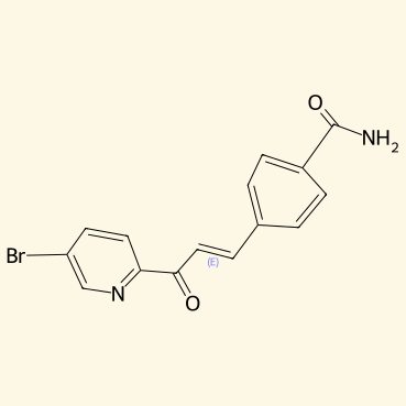 NC(=O)c1ccc(/C=C/C(=O)c2ccc(Br)cn2)cc1